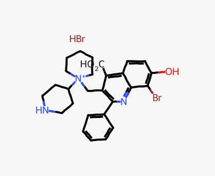 Br.O=C(O)c1c(C[N+]2(C3CCNCC3)CCCCC2)c(-c2ccccc2)nc2c(Br)c(O)ccc12